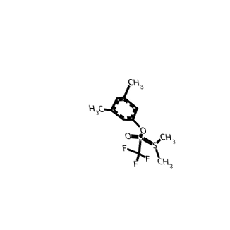 Cc1cc(C)cc(OS(=O)(=S(C)C)C(F)(F)F)c1